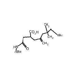 C=C(CC(CC(=O)NCCCC)C(=O)O)CC(C)(C)CC(C)(C)C